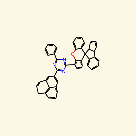 C1=CC2c3ccccc3C3(c4ccccc4Oc4c(-c5nc(-c6ccccc6)nc(-c6cc7c8c(cccc8c6)CC=C7)n5)cccc43)C2C=C1